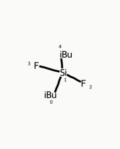 CCC(C)[Si](F)(F)C(C)CC